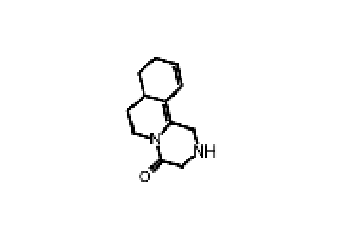 O=C1CNCC2=C3C=CCCC3CCN12